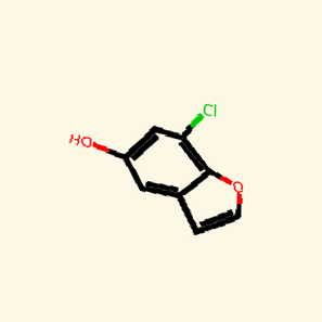 Oc1cc(Cl)c2occc2c1